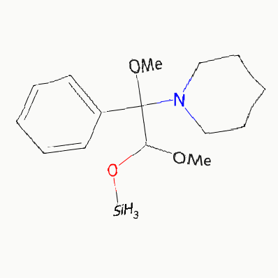 COC(O[SiH3])C(OC)(c1ccccc1)N1CCCCC1